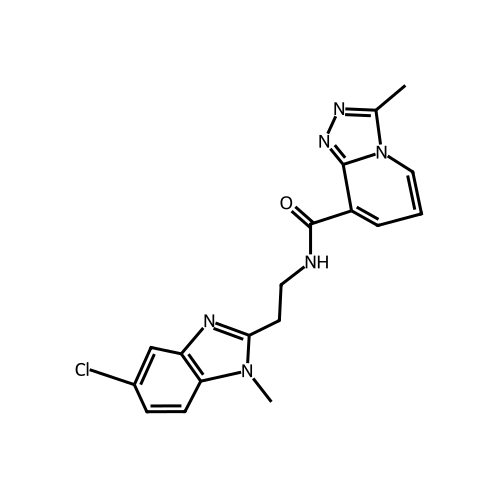 Cc1nnc2c(C(=O)NCCc3nc4cc(Cl)ccc4n3C)cccn12